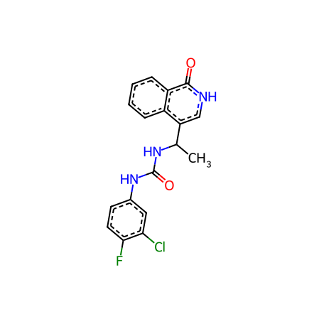 CC(NC(=O)Nc1ccc(F)c(Cl)c1)c1c[nH]c(=O)c2ccccc12